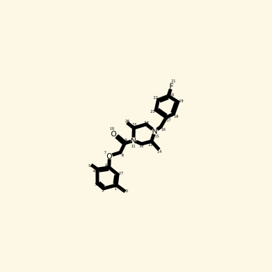 Cc1ccc(C)c(OCC(=O)N2CC(C)N(Cc3ccc(F)cc3)CC2C)c1